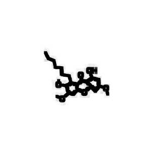 CCCCC=CCc1c(OC)c(OC)cc2oc3cc(OC)cc(O)c3c(=O)c12